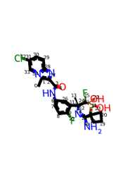 Cc1c(C(=O)Nc2ccc(F)c([C@@]3(C)N=C(N)C4(CCC4)S(O)(O)[C@@H]3F)c2)nc2ccc(Cl)cn12